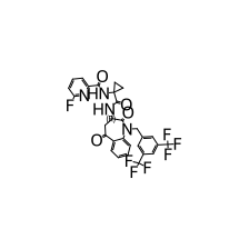 O=C(NC1(C(=O)N[C@@H]2CC(=O)c3ccccc3N(Cc3cc(C(F)(F)F)cc(C(F)(F)F)c3)C2=O)CC1)c1cccc(F)n1